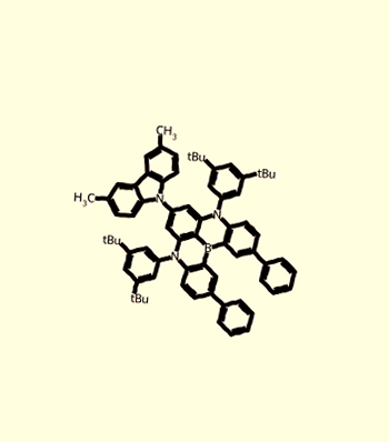 Cc1ccc2c(c1)c1cc(C)ccc1n2-c1cc2c3c(c1)N(c1cc(C(C)(C)C)cc(C(C)(C)C)c1)c1ccc(-c4ccccc4)cc1B3c1cc(-c3ccccc3)ccc1N2c1cc(C(C)(C)C)cc(C(C)(C)C)c1